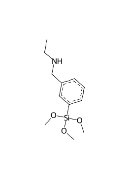 CCNCc1cccc([Si](OC)(OC)OC)c1